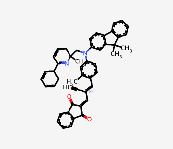 C#C/C(C=C1C(=O)c2ccccc2C1=O)=C\c1ccc(N(CC2(C)CC=CC(C3C=CC=CC3)=N2)c2ccc3c(c2)C(C)(C)c2ccccc2-3)cc1C